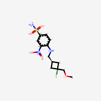 COC[C@]1(F)C[C@@H](CNc2ccc(S(N)(=O)=O)cc2[N+](=O)[O-])C1